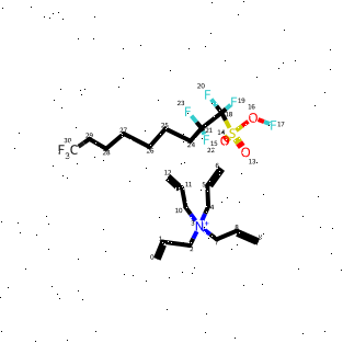 C=CC[N+](CC=C)(CC=C)CC=C.O=S(=O)(OF)C(F)(F)C(F)(F)CCCCCCC(F)(F)F